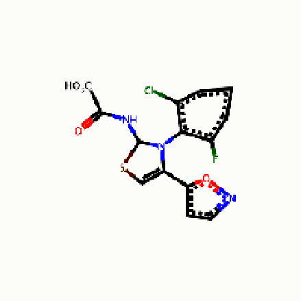 O=C(O)C(=O)NC1SC=C(c2ccno2)N1c1c(F)cccc1Cl